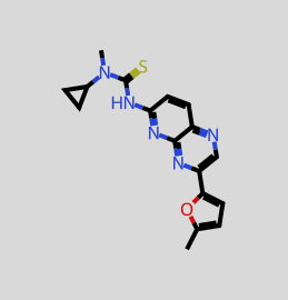 Cc1ccc(-c2cnc3ccc(NC(=S)N(C)C4CC4)nc3n2)o1